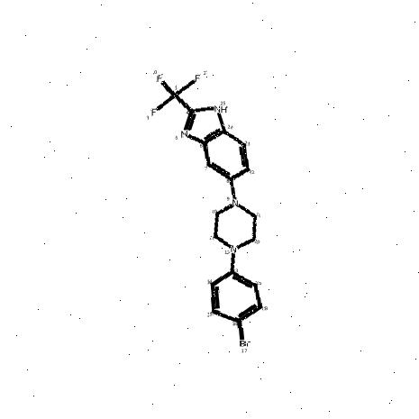 FC(F)(F)c1nc2cc(N3CCN(c4ccc(Br)cc4)CC3)ccc2[nH]1